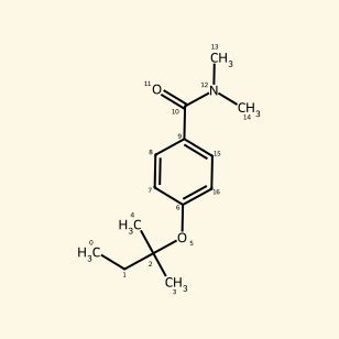 CCC(C)(C)Oc1ccc(C(=O)N(C)C)cc1